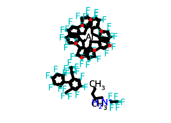 CCCC(C)C[NH2+]C(F)(F)C(F)(F)F.Fc1c(F)c(F)c(-c2c(C(F)(F)F)c(F)c(F)c(F)c2C(F)(F)C(F)(F)F)c(F)c1F.Fc1cc2c(c(F)c1F)-c1c(F)c(F)c(F)c(F)c1[CH]2[Al-]([CH]1c2cc(F)c(F)c(F)c2-c2c(F)c(F)c(F)c(F)c21)([CH]1c2cc(F)c(F)c(F)c2-c2c(F)c(F)c(F)c(F)c21)[CH]1c2cc(F)c(F)c(F)c2-c2c(F)c(F)c(F)c(F)c21